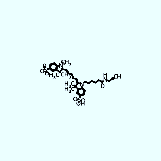 C#CCNC(=O)CCCCCN1/C(=C/C=C/C=C/C2=[N+](C)c3ccc(S(=O)(=O)[O-])cc3C2(C)C)C(C)(C)c2cc(S(=O)(=O)O)ccc21